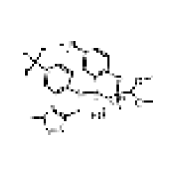 COC(OC)[C@@]1(C)Oc2ccc(N)cc2[C@H](N(Cc2nnn(C)n2)c2ccc(C(F)(F)F)cc2)[C@H]1O